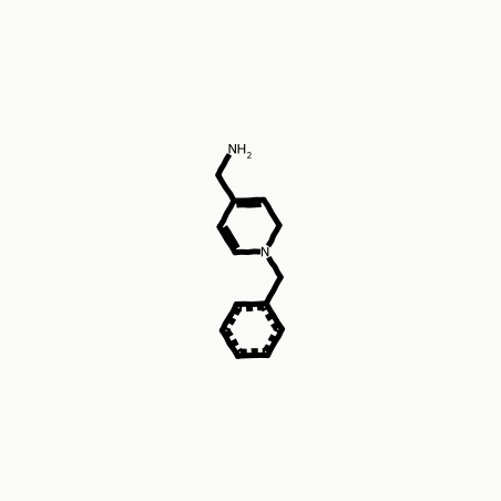 NCC1=CCN(Cc2ccccc2)C=C1